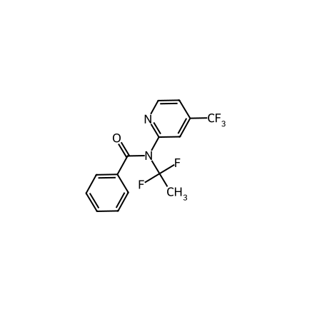 CC(F)(F)N(C(=O)c1ccccc1)c1cc(C(F)(F)F)ccn1